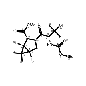 COC(=O)[C@@H]1[C@@H]2[C@H](CN1C(=O)[C@@H](NC(=O)OC(C)(C)C)C(C)(C)O)C2(C)C